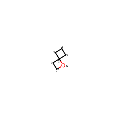 [CH]1CC2(CCC2)O1